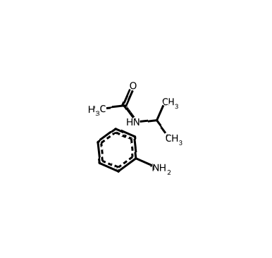 CC(=O)NC(C)C.Nc1ccccc1